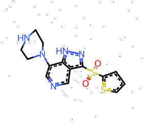 O=S(=O)(c1cccs1)c1n[nH]c2c(N3CCNCC3)cncc12